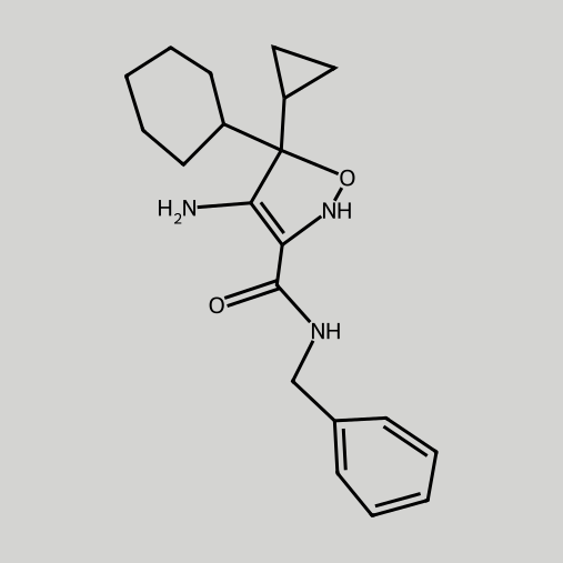 NC1=C(C(=O)NCc2ccccc2)NOC1(C1CCCCC1)C1CC1